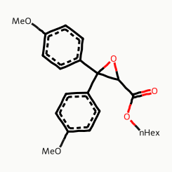 CCCCCCOC(=O)C1OC1(c1ccc(OC)cc1)c1ccc(OC)cc1